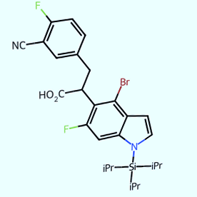 CC(C)[Si](C(C)C)(C(C)C)n1ccc2c(Br)c(C(Cc3ccc(F)c(C#N)c3)C(=O)O)c(F)cc21